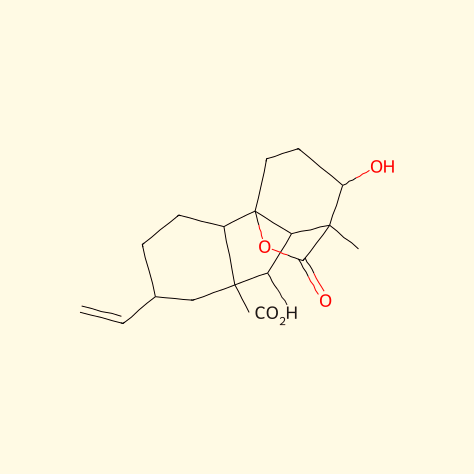 C=CC1CCC2C(C)(C1)C(C(=O)O)C1C23CCC(O)C1(C)C(=O)O3